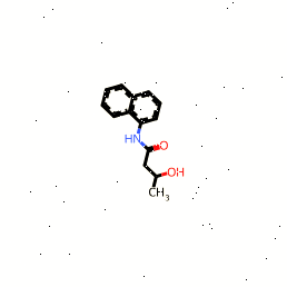 CC(O)CC(=O)Nc1cccc2ccccc12